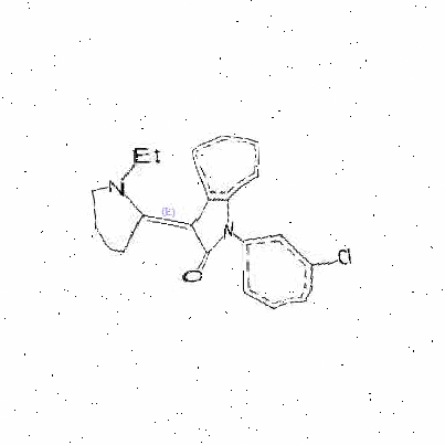 CCN1CCC/C1=C1\C(=O)N(c2cccc(Cl)c2)c2ccccc21